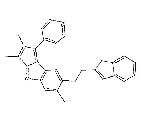 CC1=C(C)C(c2ccccc2)=C2C1=Nc1cc(C)c(CCC3=Cc4ccccc4C3)cc12